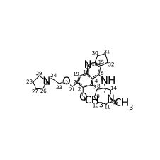 COc1cc2c(N[C@@H]3CCCCN(C)C3)c3c(nc2cc1COCCN1CCCC1)CCC3